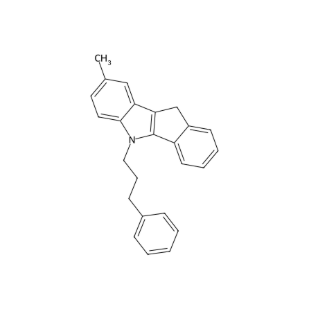 Cc1ccc2c(c1)c1c(n2CCCc2ccccc2)-c2ccccc2C1